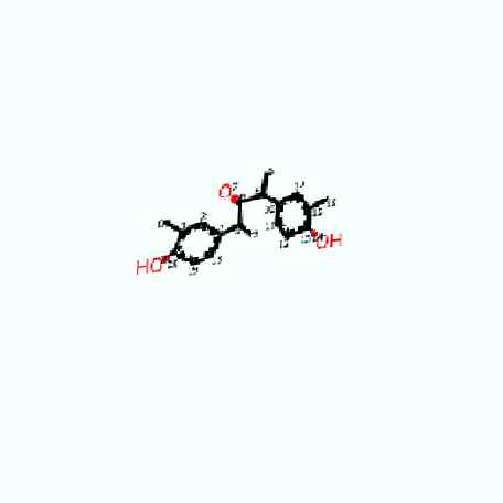 Cc1cc(C(C)C(=O)C(C)c2ccc(O)c(C)c2)ccc1O